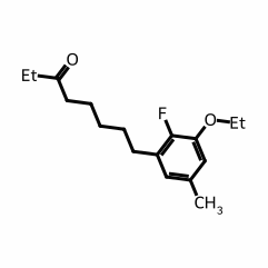 CCOc1cc(C)cc(CCCCCC(=O)CC)c1F